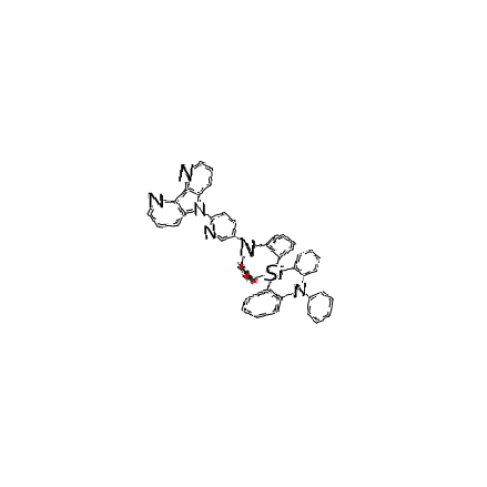 c1ccc(N2c3ccccc3[Si]3(c4ccccc42)c2ccccc2N(c2ccc(-n4c5cccnc5c5ncccc54)nc2)c2ccccc23)cc1